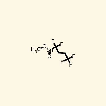 C[O][Sn](=[O])[C](F)(F)CCC(F)(F)F